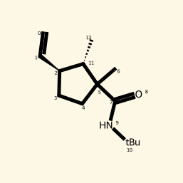 C=C[C@@H]1CCC(C)(C(=O)NC(C)(C)C)[C@H]1C